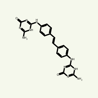 Nc1nc(=O)nc(Nc2ccc(C=Cc3ccc(Nc4nc(=O)nc(N)[nH]4)cc3)cc2)[nH]1